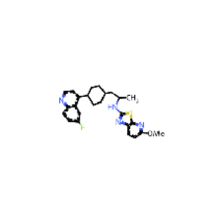 COc1ccc2nc(NC(C)CC3CCC(c4ccnc5ccc(F)cc45)CC3)sc2n1